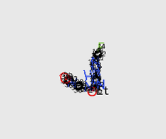 CCc1nc2cc(N3CCN(c4ccc(F)cc4)CC3)ccn2c1C(=O)NCc1ccc(N2CCOCC2)cc1